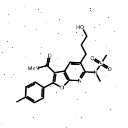 CNC(=O)c1c(-c2ccc(C)cc2)oc2nc(N(C)S(C)(=O)=O)c(CCCO)cc12